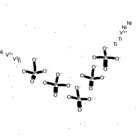 O=P([O-])([O-])[O-].O=P([O-])([O-])[O-].O=P([O-])([O-])[O-].O=P([O-])([O-])[O-].O=P([O-])([O-])[O-].[Ni].[Ni].[Ni].[Ti].[Ti].[Ti].[V+5].[V+5].[V+5]